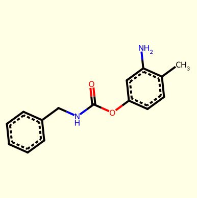 Cc1ccc(OC(=O)NCc2ccccc2)cc1N